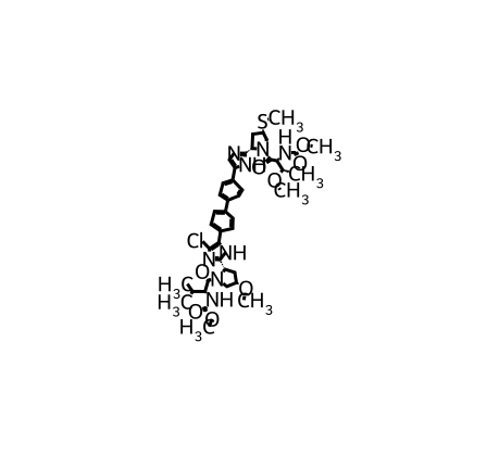 COC(=O)N[C@H](C(=O)N1C[C@@H](OC)C[C@H]1c1nc(Cl)c(-c2ccc(-c3ccc(-c4cnc([C@@H]5C[C@H](SC)CN5C(=O)[C@@H](NC(=O)OC)[C@@H](C)OC)[nH]4)cc3)cc2)[nH]1)C(C)C